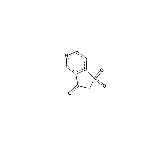 O=C1CS(=O)(=O)c2ccncc21